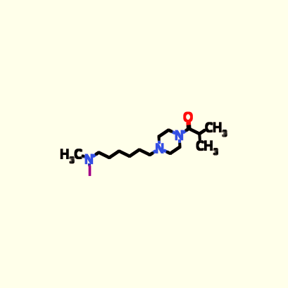 CC(C)C(=O)N1CCN(CCCCCCN(C)I)CC1